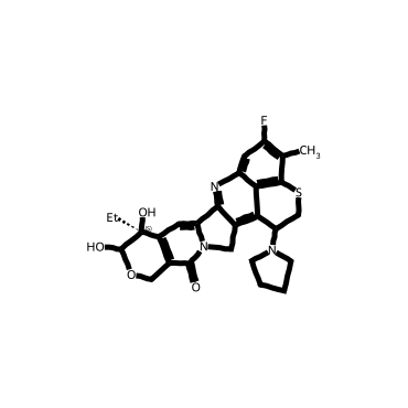 CC[C@]1(O)c2cc3n(c(=O)c2COC1O)Cc1c-3nc2cc(F)c(C)c3c2c1C(N1CCCC1)CS3